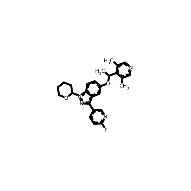 Cc1cncc(C)c1C(C)Oc1ccc2c(c1)c(-c1ccc(F)nc1)nn2C1CCCCO1